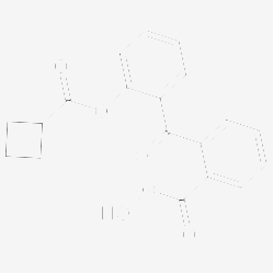 O=C(OO)c1ccccc1C(=O)c1ccccc1OC(=O)C1CCC1